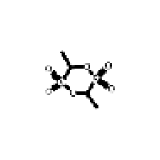 CC1OS(=O)(=O)C(C)OS1(=O)=O